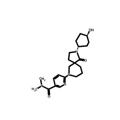 CN(C)C(=O)c1ccc(N2CCCC3(CCN([C@H]4CC[C@H](O)CC4)C3=O)C2)nc1